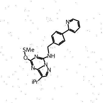 CSOc1nc(NCc2ccc(-c3ccccn3)cc2)n2ncc(C(C)C)c2n1